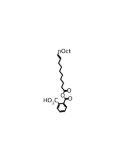 CCCCCCCCC=CCCCCCCCC(=O)OC(=O)c1ccccc1C(=O)O